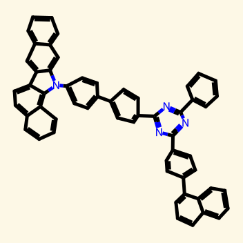 c1ccc(-c2nc(-c3ccc(-c4ccc(-n5c6cc7ccccc7cc6c6ccc7ccccc7c65)cc4)cc3)nc(-c3ccc(-c4cccc5ccccc45)cc3)n2)cc1